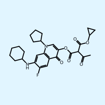 CC(=O)C(C(=O)Oc1cn(C2CCCC2)c2cc(NC3CCCCC3)c(F)cc2c1=O)C(=O)OC1CC1